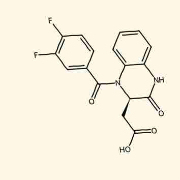 O=C(O)C[C@@H]1C(=O)Nc2ccccc2N1C(=O)c1ccc(F)c(F)c1